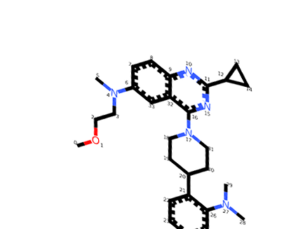 COCCN(C)c1ccc2nc(C3CC3)nc(N3CCC(c4ccccc4N(C)C)CC3)c2c1